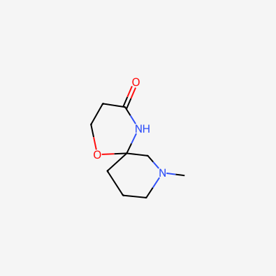 CN1CCCC2(C1)NC(=O)CCO2